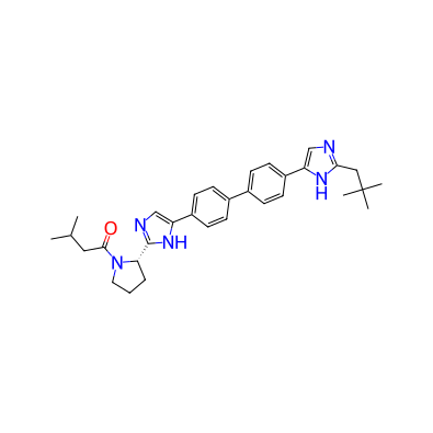 CC(C)CC(=O)N1CCC[C@H]1c1ncc(-c2ccc(-c3ccc(-c4cnc(CC(C)(C)C)[nH]4)cc3)cc2)[nH]1